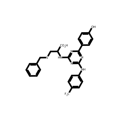 O=C(O)C(CSCc1ccccc1)Nc1nc(Nc2ccc(C(F)(F)F)cc2)nc(-c2ccc(O)cc2)n1